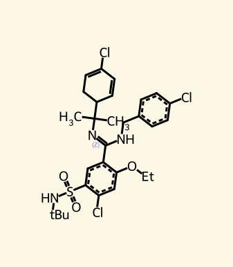 CCOc1cc(Cl)c(S(=O)(=O)NC(C)(C)C)cc1/C(=N/C(C)(C)C1C=CC(Cl)=CC1)NCc1ccc(Cl)cc1